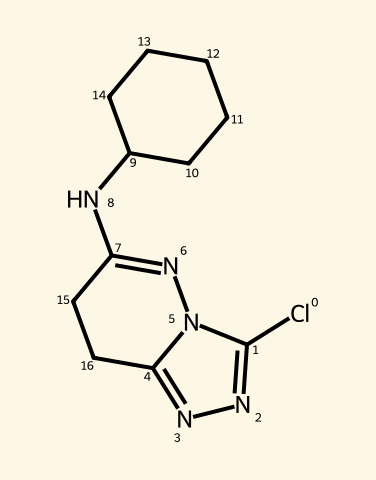 Clc1nnc2n1N=C(NC1CCCCC1)CC2